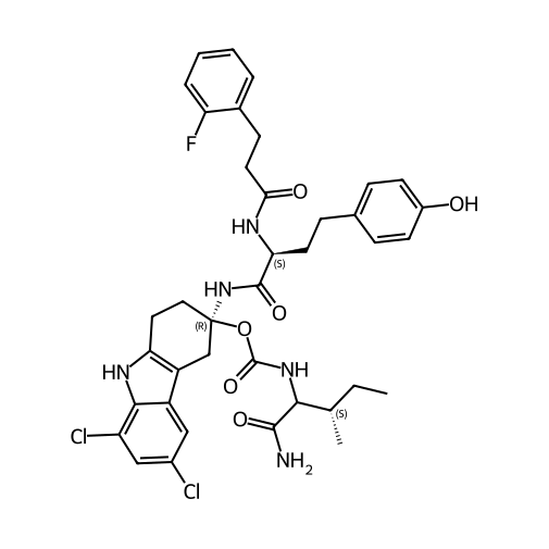 CC[C@H](C)C(NC(=O)O[C@]1(NC(=O)[C@H](CCc2ccc(O)cc2)NC(=O)CCc2ccccc2F)CCc2[nH]c3c(Cl)cc(Cl)cc3c2C1)C(N)=O